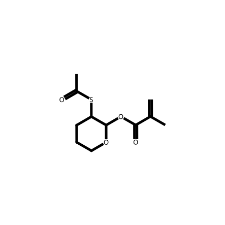 C=C(C)C(=O)OC1OCCCC1SC(C)=O